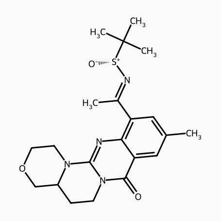 C/C(=N\[S@+]([O-])C(C)(C)C)c1cc(C)cc2c(=O)n3c(nc12)N1CCOCC1CC3